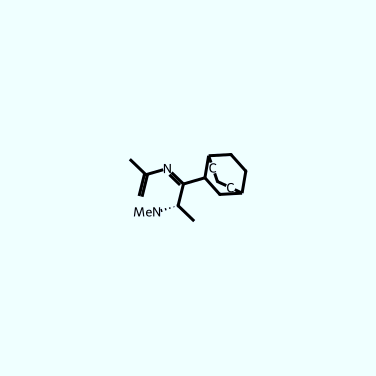 C=C(C)/N=C(/C1CC2CCCC1CC2)[C@H](C)NC